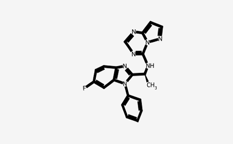 C[C@H](Nc1ncnc2ccnn12)c1nc2ccc(F)cc2n1-c1ccccc1